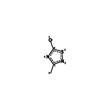 Cc1nsc([O])n1